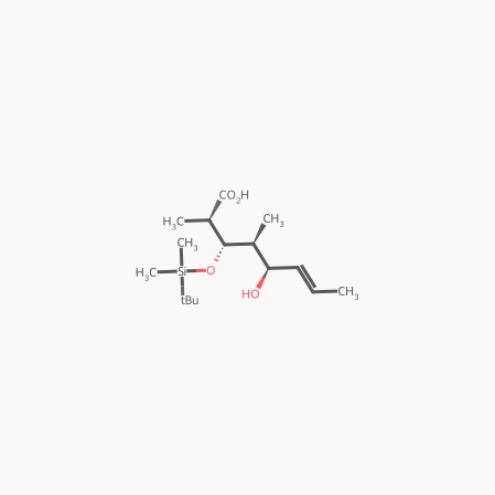 CC=C[C@@H](O)[C@H](C)[C@H](O[Si](C)(C)C(C)(C)C)[C@@H](C)C(=O)O